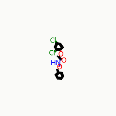 O=C(COc1ccc(Cl)cc1Cl)NOCc1ccccc1